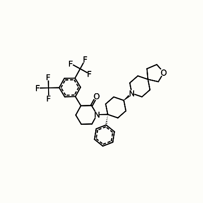 O=C1C(c2cc(C(F)(F)F)cc(C(F)(F)F)c2)CCCN1[C@]1(c2ccccc2)CC[C@H](N2CCC3(CCOC3)CC2)CC1